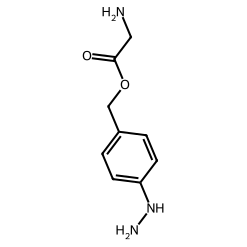 NCC(=O)OCc1ccc(NN)cc1